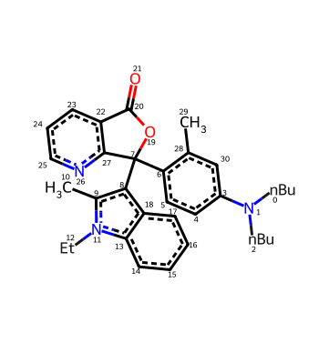 CCCCN(CCCC)c1ccc(C2(c3c(C)n(CC)c4ccccc34)OC(=O)c3cccnc32)c(C)c1